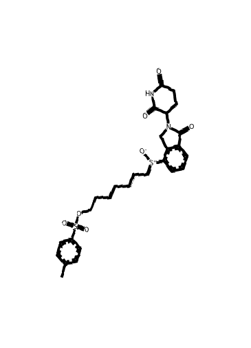 Cc1ccc(S(=O)(=O)OCCCCCCC[S+]([O-])c2cccc3c2CN(C2CCC(=O)NC2=O)C3=O)cc1